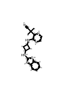 CC(C)(C#N)c1nccnc1NC1CC(Nc2nc3ccccc3s2)C1